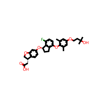 Cc1cc(OCCC(C)(C)O)cc(C)c1Oc1ccc(F)c2c1CC[C@H]2Oc1ccc2c(c1)OC[C@H]2CC(=O)O